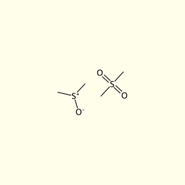 CS(C)(=O)=O.C[S+](C)[O-]